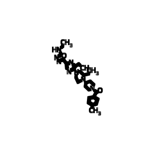 CCNc1nnc(-c2cnc(N3CCN(C4CCN(C(=O)c5ccc(C)cc5)CC4)C(CC)C3)c(CC)n2)o1